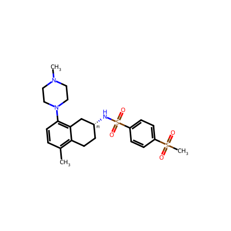 Cc1ccc(N2CCN(C)CC2)c2c1CC[C@@H](NS(=O)(=O)c1ccc(S(C)(=O)=O)cc1)C2